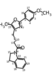 COc1ccc(-c2nc(CSCC(=O)N3CCc4ccccc43)c(C)o2)cc1